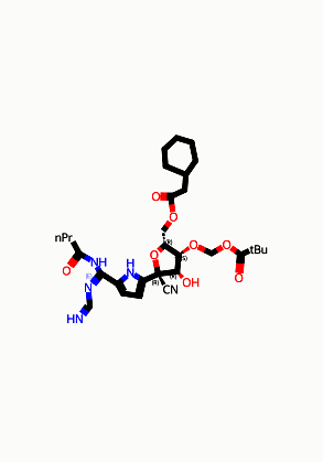 CCCC(=O)N/C(=N/C=N)c1ccc([C@]2(C#N)O[C@H](COC(=O)CC3CCCCC3)[C@@H](OCOC(=O)C(C)(C)C)[C@H]2O)[nH]1